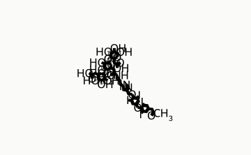 CC(=O)Cc1cc(I)c(Oc2cc(I)c(OCc3cn(CCCNC(=O)CC4O[C@@H](O[C@@H]5C(CC(=O)O)O[C@@H](O)C(O)[C@H]5O)C(O)[C@@H](O)[C@@H]4O[C@@H]4OC(CC(=O)O)[C@@H](O)[C@H](O)C4O)nn3)c(I)c2)c(I)c1